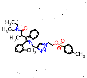 CCN(CC)C(=O)C(C)c1c(-c2ccccc2C)n(Cc2cn(CCOS(=O)(=O)c3ccc(C)cc3)nn2)c2ccccc12